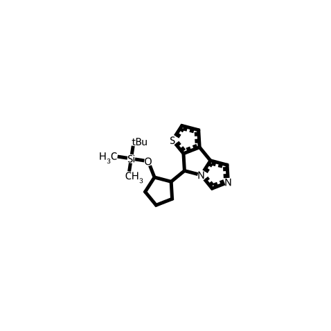 CC(C)(C)[Si](C)(C)OC1CCCC1C1c2sccc2-c2cncn21